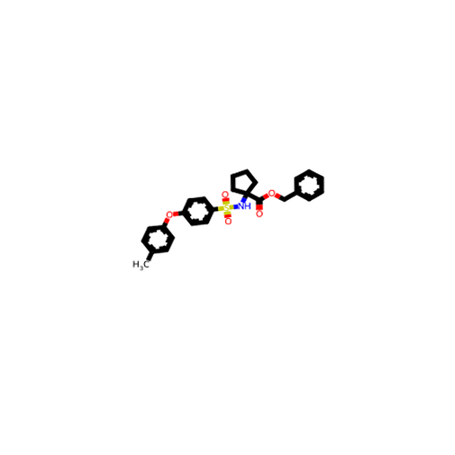 Cc1ccc(Oc2ccc(S(=O)(=O)NC3(C(=O)OCc4ccccc4)CCCC3)cc2)cc1